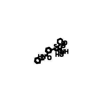 O=C(C[C@]1(c2ccc(-c3cccc(C(=O)NCc4ccccc4)c3)s2)CCCCS1(=O)=O)NO